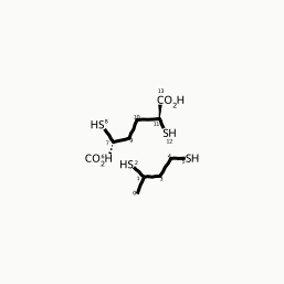 CC(S)CCS.O=C(O)[C@H](S)CC[C@H](S)C(=O)O